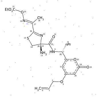 C=CCOc1cc([C@@H](CCC)NC(=O)[C@]2(N)CSC(/C(C)=N/OC(=O)OCC)=N2)oc(=O)c1